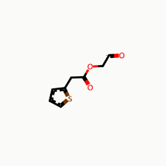 O=[C]COC(=O)Cc1cccs1